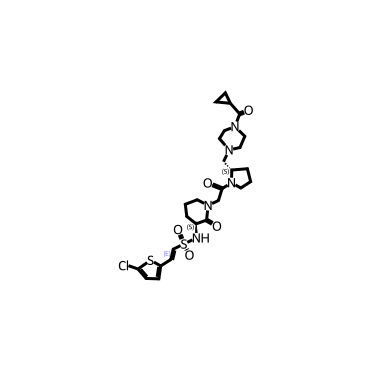 O=C(C1CC1)N1CCN(C[C@@H]2CCCN2C(=O)CN2CCC[C@H](NS(=O)(=O)/C=C/c3ccc(Cl)s3)C2=O)CC1